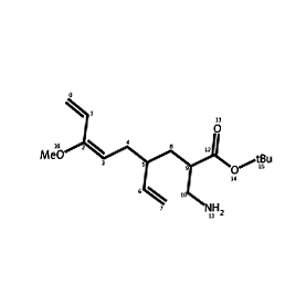 C=C/C(=C\CC(C=C)CC(CN)C(=O)OC(C)(C)C)OC